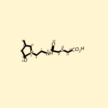 CC1CC(=O)N(CCNC(=O)CSCC(=O)O)C1